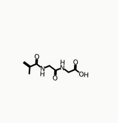 C=C(C)C(=O)NCC(=O)NCC(=O)O